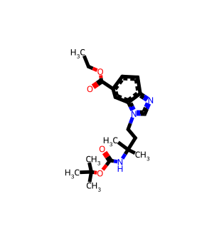 CCOC(=O)c1ccc2ncn(CCC(C)(C)NC(=O)OC(C)(C)C)c2c1